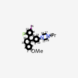 COc1ccc2c(c1)C(c1ccc(N3CCN(C(C)C)CC3)cc1)=C(c1ccc(I)cc1F)CC2